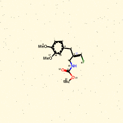 COc1ccc(C/C(=C/F)CNC(=O)OC(C)(C)C)cc1OC